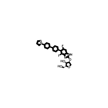 OC[C@H]1OC[C@@H](Oc2nc3c(F)c(-c4ccc(-c5ccc(-n6cccn6)cc5)cc4)c(F)cc3[nH]2)[C@@H]1O